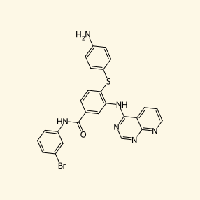 Nc1ccc(Sc2ccc(C(=O)Nc3cccc(Br)c3)cc2Nc2ncnc3ncccc23)cc1